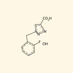 Cl.O=C(O)c1cn(Cc2ccccc2F)nn1